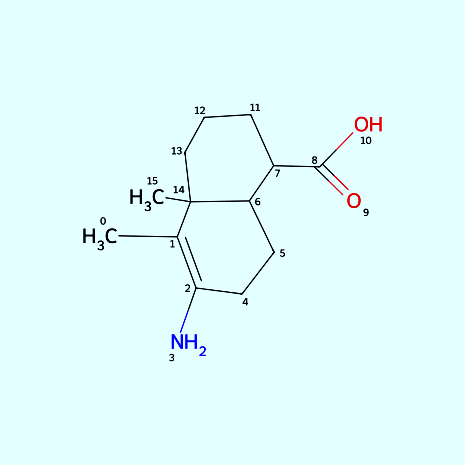 CC1=C(N)CCC2C(C(=O)O)CCCC12C